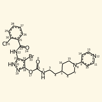 O=C(NCCC1CCN(c2ccncc2)CC1)Oc1n[nH]c(NC(=O)c2ccccc2Cl)c1Br